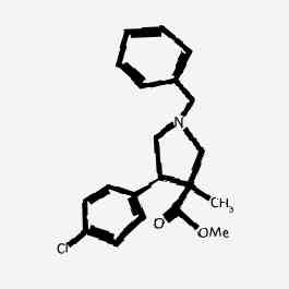 COC(=O)C1(C)CN(Cc2ccccc2)C[C@@H]1c1ccc(Cl)cc1